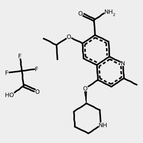 Cc1cc(O[C@@H]2CCCNC2)c2cc(OC(C)C)c(C(N)=O)cc2n1.O=C(O)C(F)(F)F